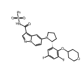 CC(C)S(=O)(=O)NC(=O)c1cnn2ccc(N3CCC[C@@H]3c3cc(F)cc(F)c3OC3CCOCC3)cc12